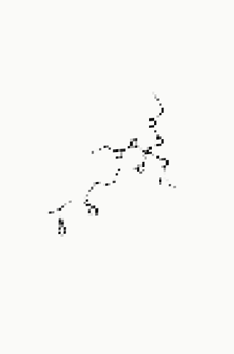 CCOO[Si](OCCCC(=O)CC(C)=O)(OOCC)OOCC